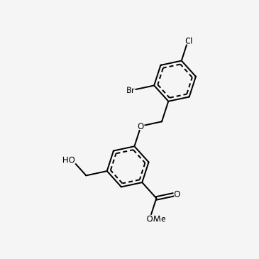 COC(=O)c1cc(CO)cc(OCc2ccc(Cl)cc2Br)c1